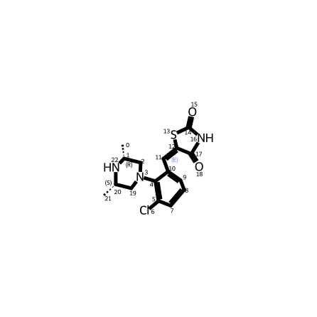 C[C@@H]1CN(c2c(Cl)cccc2/C=C2/SC(=O)NC2=O)C[C@H](C)N1